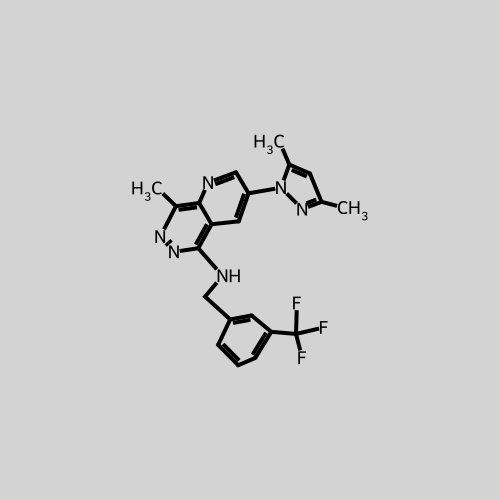 Cc1cc(C)n(-c2cnc3c(C)nnc(NCc4cccc(C(F)(F)F)c4)c3c2)n1